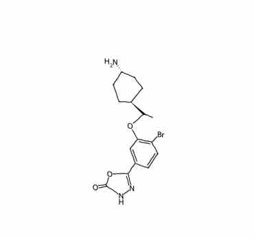 CC(Oc1cc(-c2n[nH]c(=O)o2)ccc1Br)[C@H]1CC[C@H](N)CC1